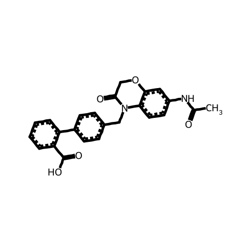 CC(=O)Nc1ccc2c(c1)OCC(=O)N2Cc1ccc(-c2ccccc2C(=O)O)cc1